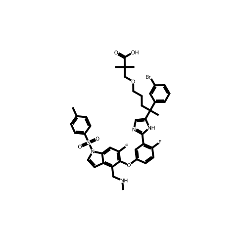 CNCc1c(Oc2ccc(F)c(-c3ncc(C(C)(CCCOCC(C)(C)C(=O)O)c4cccc(Br)c4)[nH]3)c2)c(F)cc2c1ccn2S(=O)(=O)c1ccc(C)cc1